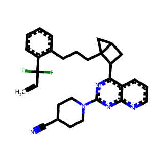 C=CC(F)(F)c1ccccc1CCCC12CC1CC2c1nc(N2CCC(C#N)CC2)nc2ncccc12